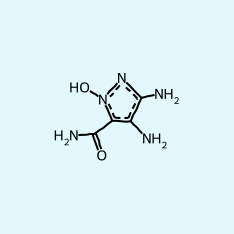 NC(=O)c1c(N)c(N)nn1O